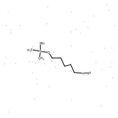 CCCCCCCC[CH]CC[CH]O[Si](C)(C)C(C)(C)C